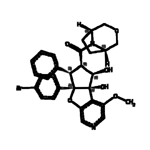 COc1cncc2c1[C@]1(O)[C@H](O)[C@H](C(=O)N3[C@@H]4CC[C@H]3COC4)[C@@H](c3ccccc3)[C@]1(c1ccc(Br)cc1)O2